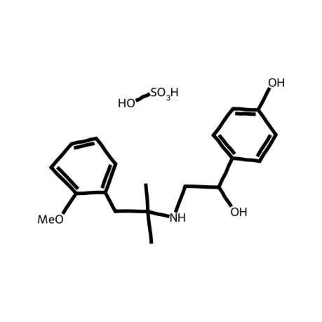 COc1ccccc1CC(C)(C)NCC(O)c1ccc(O)cc1.O=S(=O)(O)O